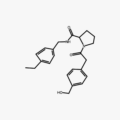 CCc1ccc(CNC(=O)C2CCCN2C(=O)Cc2ccc(CO)cc2)cc1